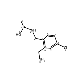 CB(O)NCc1ccc(Cl)cc1CN